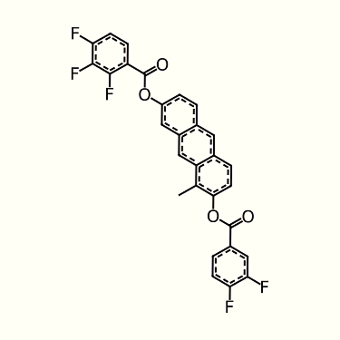 Cc1c(OC(=O)c2ccc(F)c(F)c2)ccc2cc3ccc(OC(=O)c4ccc(F)c(F)c4F)cc3cc12